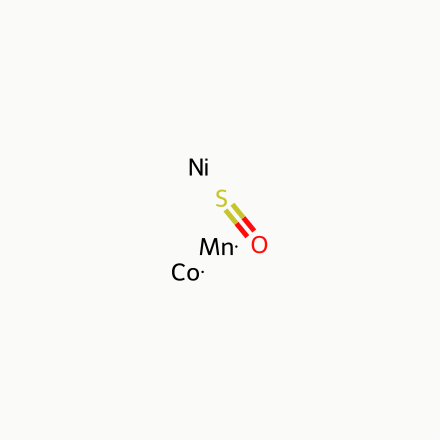 O=S.[Co].[Mn].[Ni]